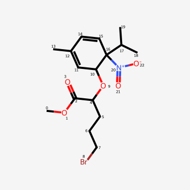 COC(=O)C(CCCBr)OC1C=C(C)C=CC1(C(C)C)[N+](=O)[O-]